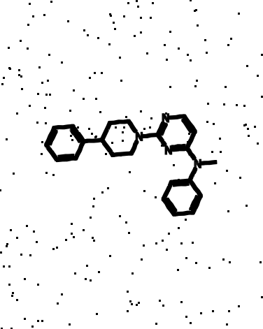 CN(c1ccccc1)c1ccnc(N2CCC(c3ccccc3)CC2)n1